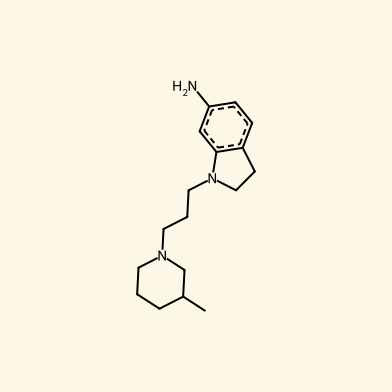 CC1CCCN(CCCN2CCc3ccc(N)cc32)C1